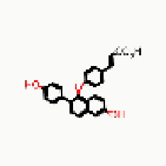 O=C(O)C=Cc1ccc(Oc2c(-c3ccc(O)cc3)ccc3cc(O)ccc23)cc1